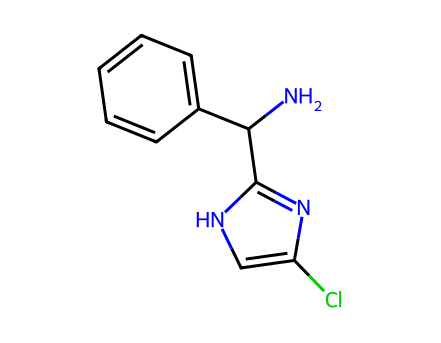 NC(c1ccccc1)c1nc(Cl)c[nH]1